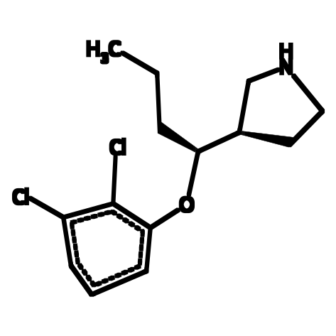 CCC[C@H](Oc1cccc(Cl)c1Cl)[C@@H]1CCNC1